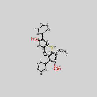 Cc1cc(O)c(C2CCCCC2)cc1Sc1cc(C2CCCCC2)c(O)cc1C